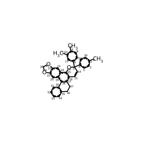 Cc1ccc(C2(c3ccc(C)c(C)c3)C=Cc3c4c(c5cc6c(cc5c3O2)OCO6)-c2ccccc2CC4)cc1